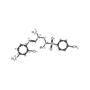 Cc1ccc(S(=O)(=O)N(SN(C)/C=N/c2ccc(C)cc2Cl)C(C)C)cc1